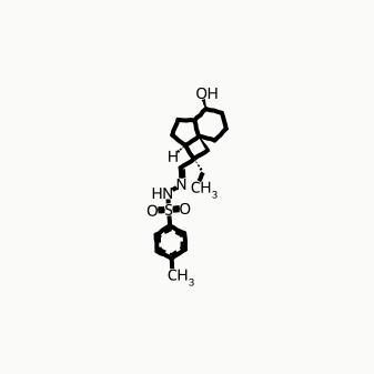 CC[C@@]1(/C=N/NS(=O)(=O)c2ccc(C)cc2)C[C@]23CCC[C@H](O)C2CC[C@H]13